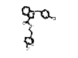 O=C(NCCc1ccc(C(F)(F)F)nc1)c1cn(Cc2ccc(Cl)cc2)c2ccccc12